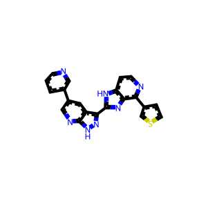 c1cncc(-c2cnc3[nH]nc(-c4nc5c(-c6ccsc6)nccc5[nH]4)c3c2)c1